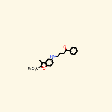 CCOC(=O)c1oc2ccc(NCCCC(=O)c3ccccc3)cc2c1C